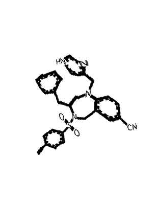 Cc1ccc(S(=O)(=O)N2Cc3cc(C#N)ccc3N(Cc3c[nH]cn3)CC2Cc2ccccc2)cc1